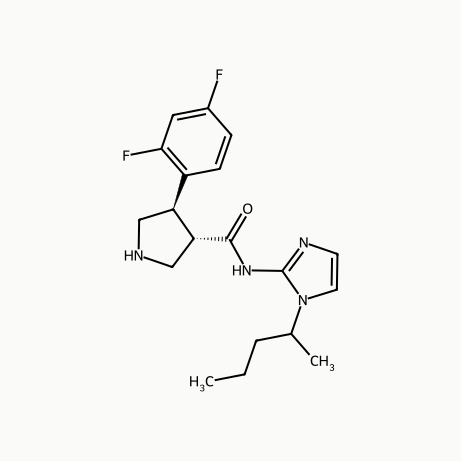 CCCC(C)n1ccnc1NC(=O)[C@@H]1CNC[C@H]1c1ccc(F)cc1F